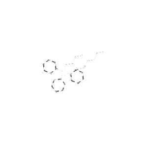 CCCC1CCC(C[P+](c2ccccc2)(c2ccccc2)c2ccccc2)CC1.[Br-]